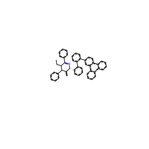 C=C1C(c2ccccc2)C(CC)C(c2ccccc2)=N[C@@H]1c1ccccc1-c1ccccc1-c1ccc2c3ccccc3c3ccccc3c2c1